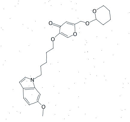 COc1ccc2ccn(CCCCCOc3coc(COC4CCCCO4)cc3=O)c2c1